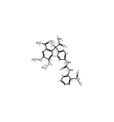 COc1cc(C(C)=O)c(C(C)(C(N)=O)c2ccc(NC(=O)Nc3ccccc3[N+](=O)[O-])cc2)cc1OC